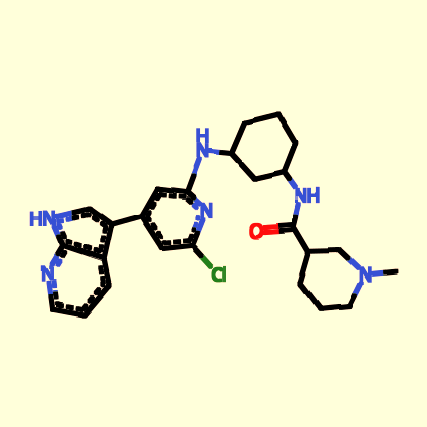 CN1CCCC(C(=O)NC2CCCC(Nc3cc(-c4c[nH]c5ncccc45)cc(Cl)n3)C2)C1